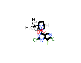 CC(C)(C)[C@]12CC[C@@H](CN(c3nc(Cl)nc4c(F)c(Cl)ncc34)C1)N2C(=O)O